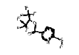 O=C(OC(C(F)(F)F)C(F)(F)F)c1ccc(SF)nc1